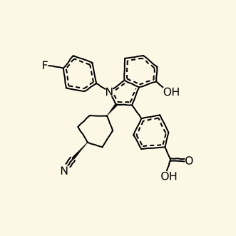 N#C[C@H]1CC[C@@H](c2c(-c3ccc(C(=O)O)cc3)c3c(O)cccc3n2-c2ccc(F)cc2)CC1